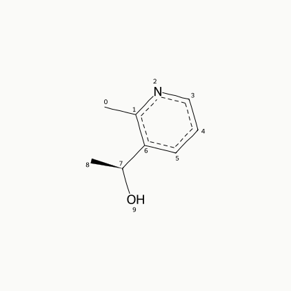 Cc1ncccc1[C@H](C)O